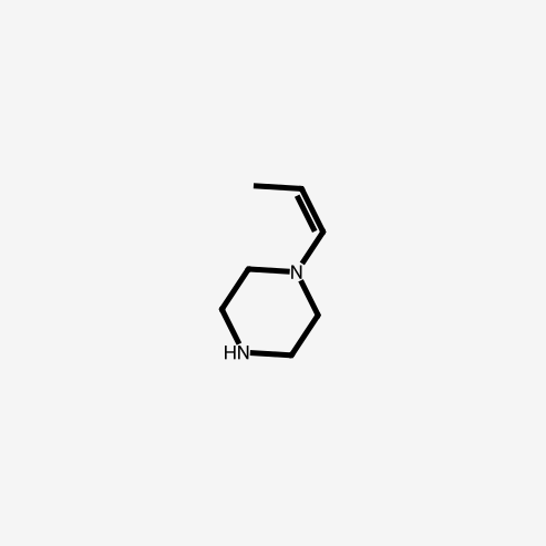 C/C=C\N1CCNCC1